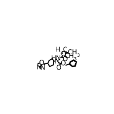 CC(C)(C)OC(=O)NN(C(=O)OCc1ccccc1)C1CCC(c2nnco2)CC1